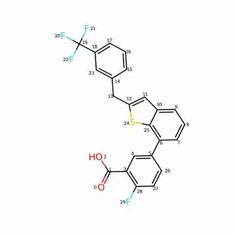 O=C(O)c1cc(-c2cccc3cc(Cc4cccc(C(F)(F)F)c4)sc23)ccc1F